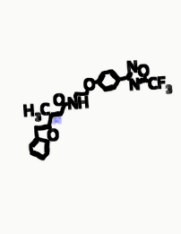 C/C(=C\C(=O)NCCOc1ccc(-c2noc(C(F)(F)F)n2)cc1)c1cc2ccccc2o1